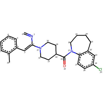 C=N/C(=C\c1ccccc1C)N1CCC(C(=O)N2CCCCc3cc(Cl)ccc32)CC1